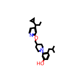 CCC(c1ccnc(OCC2CCN(c3cc(O)ccc3CC(C)C)CC2)c1)C1CC1